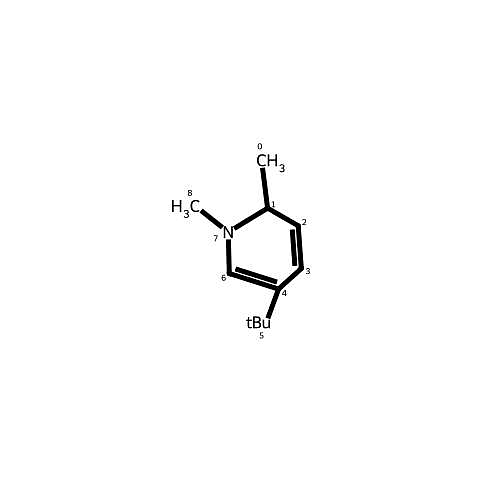 CC1C=CC(C(C)(C)C)=CN1C